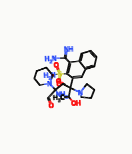 CC(O)C(C(=O)C(N)(C=O)N1CCCCC1)(c1cc2ccccc2c(C(=N)N)c1S(N)(=O)=O)N1CCCC1